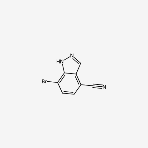 N#Cc1ccc(Br)c2[nH]ncc12